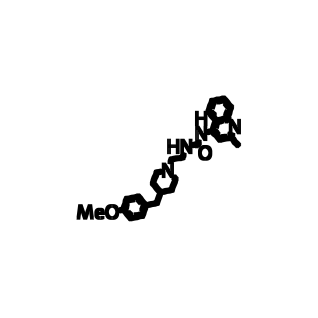 COc1ccc(CC2CCN(CCNC(=O)Nc3cc(C)nc4ccccc34)CC2)cc1